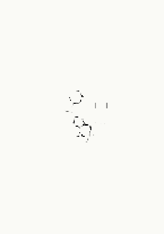 CC(C)Cc1nn(C)c(=O)c2cc(C(O)c3cccnc3)sc12.Cl